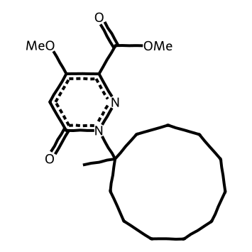 COC(=O)c1nn(C2(C)CCCCCCCCCC2)c(=O)cc1OC